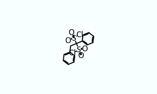 O=S(=O)(Cl)C(Cc1ccccc1)(c1ccccc1)S(=O)(=O)Cl